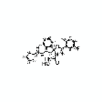 O=C(NO)N1N=C(c2cc(F)ccc2F)OC1(CCCNC1CC=CC1)c1ccccc1